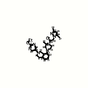 CCOc1ncc(N2CCc3cccc(N4CCN(C(=O)Cn5nc(C)cc5C)C(C)C4)c3C2)cn1